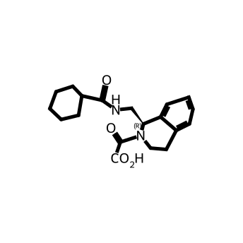 O=C(O)C(=O)N1CCc2ccccc2[C@@H]1CNC(=O)C1CCCCC1